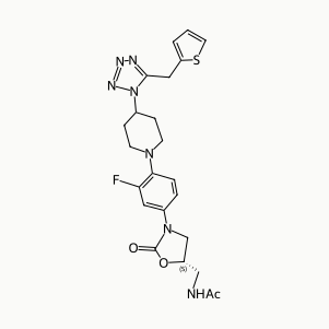 CC(=O)NC[C@H]1CN(c2ccc(N3CCC(n4nnnc4Cc4cccs4)CC3)c(F)c2)C(=O)O1